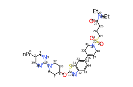 CCCc1cnc(N2CCC(Oc3nc4ccc(C5=CCN(S(=O)(=O)CCCC(=O)N(CC)CC)CC5)cc4s3)CC2)nc1